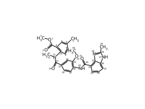 COC(=O)c1cc(C)ccc1N(C)C(=O)c1ccc(NC(=O)c2cccc3[nH]c(C)nc23)c(OC)c1